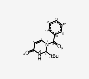 CC(C)(C)C1NC(=O)C=CN1C(=O)c1ccccc1